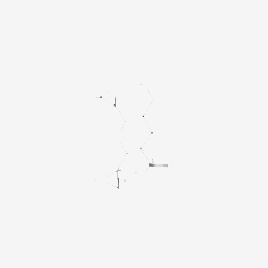 C(OCC1CO1)C1CO1.C=C(CCCCO)C(=O)O